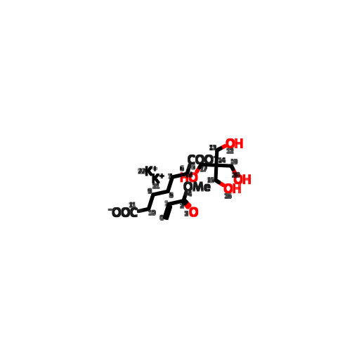 C=CC(=O)OC.O=C([O-])CCCCCC(=O)[O-].OCC(CO)(CO)CO.[K+].[K+]